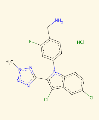 Cl.Cn1nnc(-c2c(Cl)c3cc(Cl)ccc3n2-c2ccc(CN)c(F)c2)n1